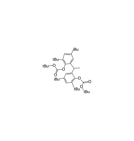 CCC(C)c1cc(C(C)c2cc(C(C)CC)cc(C(C)(C)C)c2OC(=O)OC(C)(C)C)c(OC(=O)OC(C)(C)C)c(C(C)(C)C)c1